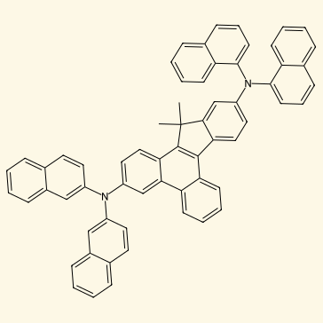 CC1(C)c2cc(N(c3cccc4ccccc34)c3cccc4ccccc34)ccc2-c2c1c1ccc(N(c3ccc4ccccc4c3)c3ccc4ccccc4c3)cc1c1ccccc21